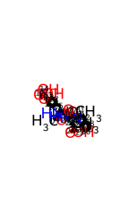 CC(=O)N[C@@H](Cc1ccc(OP(=O)(O)O)cc1)C(=O)N[C@@H](CCC(=O)O)C(=O)N(C)[C@@H](C)Cc1ccccc1